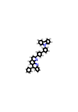 c1ccc(-c2c3ccccc3nc3c2ccc2ccc(-c4ccc(-c5cccc(-n6c7ccccc7c7ccccc76)c5)cc4)nc23)cc1